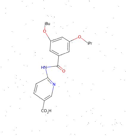 CCC(C)Oc1cc(OC(C)C)cc(C(=O)Nc2ccc(C(=O)O)cn2)c1